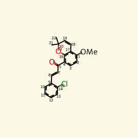 COc1ccc(C(=O)C=Cc2ccccc2Cl)c2c1C=CC(C)(C)O2